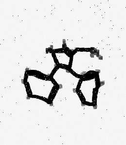 Cc1n[nH]c(-c2ccccc2)c1-c1ccncc1